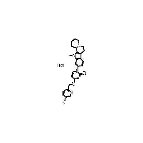 Cl.Cn1c2c(c3ccc(-n4ccc(OCc5ccc(Cl)cn5)cc4=O)cc31)CCN1CCCCC21